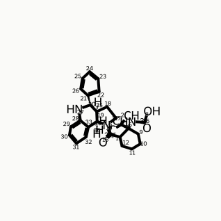 CC(C)(C)C1(NC(=O)O)CCCCC1C(=O)N1CC[C@@H]2[C@H](c3ccccc3)Nc3ccccc3[C@@H]21